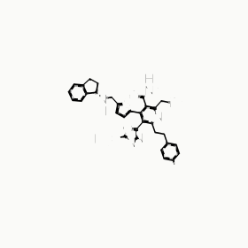 Cc1nnc(-c2c(CCc3ccc(F)cc3)nc(CC(C)C)c(C(N)=O)c2-c2ccc(CN[C@@H]3CCc4ccccc43)s2)o1